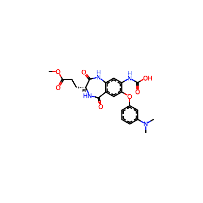 COC(=O)CC[C@H]1NC(=O)c2cc(Oc3cccc(N(C)C)c3)c(NC(=O)O)cc2NC1=O